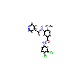 COc1ccc(C(=O)Nc2ccc(Cl)c(Cl)c2)cc1NC(=O)c1ccncc1